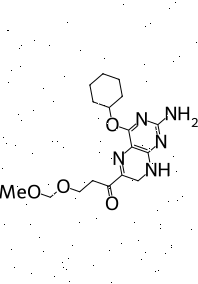 COCOCCC(=O)C1=Nc2c(nc(N)nc2OC2CCCCC2)NC1